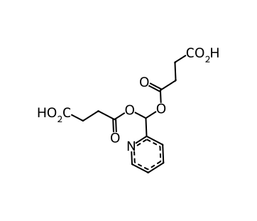 O=C(O)CCC(=O)OC(OC(=O)CCC(=O)O)c1ccccn1